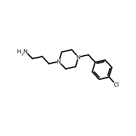 NCCCN1CCN(Cc2ccc(Cl)cc2)CC1